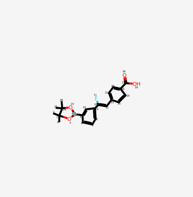 CC1(C)OB(c2cccc(C(F)=Cc3ccc(C(=O)O)cc3)c2)OC1(C)C